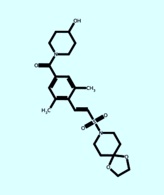 Cc1cc(C(=O)N2CCC(O)CC2)cc(C)c1/C=C/S(=O)(=O)N1CCC2(CC1)OCCO2